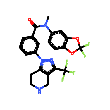 CN(C(=O)c1cccc(-n2nc(C(F)(F)F)c3c2CCNC3)c1)c1ccc2c(c1)OC(F)(F)O2